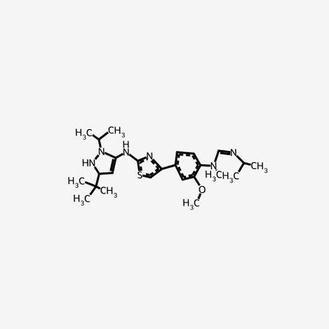 COc1cc(-c2csc(NC3=CC(C(C)(C)C)NN3C(C)C)n2)ccc1N(C)/C=N\C(C)C